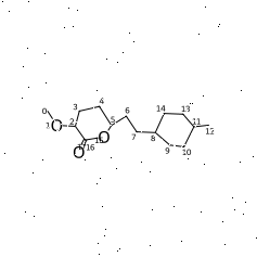 COC1CCC(CCC2CCC(C)CC2)OC1=O